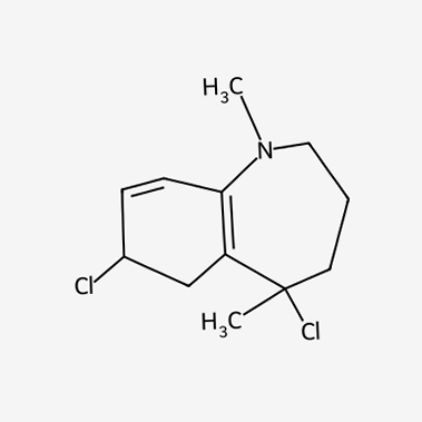 CN1CCCC(C)(Cl)C2=C1C=CC(Cl)C2